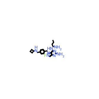 CCCC(N)Nc1nc(N)nc2cnn(Cc3ccc(CNC4CCC4)cc3F)c12